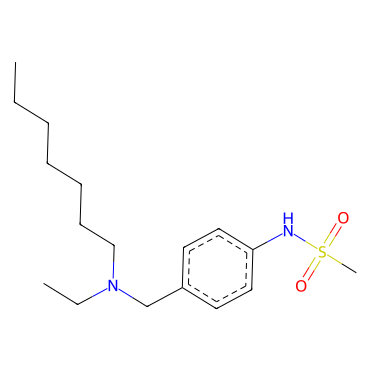 CCCCCCCN(CC)Cc1ccc(NS(C)(=O)=O)cc1